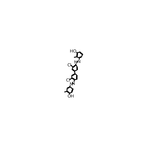 Cc1cc(N=Nc2ccc(-c3ccc(N=Nc4cccc(O)c4C)c(Cl)c3)cc2Cl)ccc1O